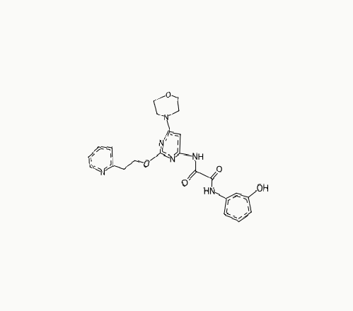 O=C(Nc1cccc(O)c1)C(=O)Nc1cc(N2CCOCC2)nc(OCCc2ccccn2)n1